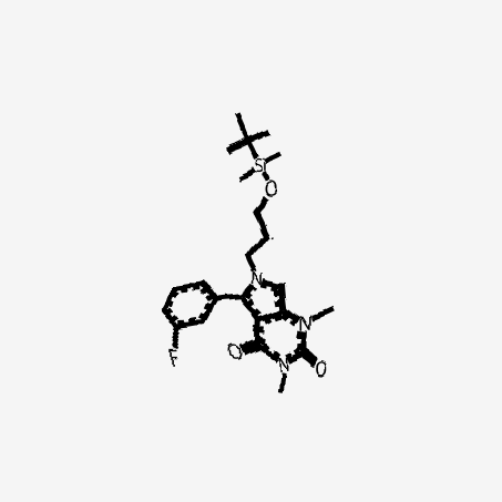 Cn1c(=O)c2c(-c3cccc(F)c3)n(C[CH]CO[Si](C)(C)C(C)(C)C)cc2n(C)c1=O